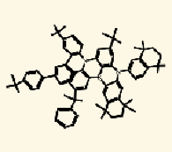 CC(C)(C)c1ccc(-c2cccc(-c3cc(C(C)(C)C)ccc3N3c4ccc(C(C)(C)c5ccccc5)cc4B4c5cc6c(cc5N(c5ccc7c(c5)C(C)(C)CCC7(C)C)c5cc(C(C)(C)C)cc3c54)C(C)(C)CCC6(C)C)c2)cc1